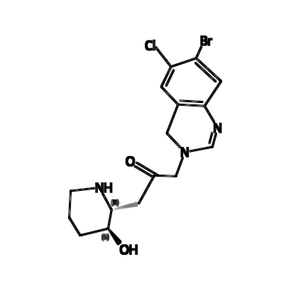 O=C(C[C@H]1NCCC[C@@H]1O)CN1C=Nc2cc(Br)c(Cl)cc2C1